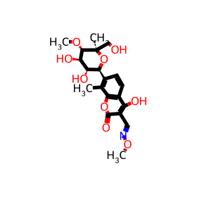 CON=Cc1c(O)c2ccc([C@@H]3O[C@](C)(CO)[C@H](OC)[C@H](O)[C@H]3O)c(C)c2oc1=O